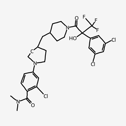 CN(C)C(=O)c1ccc(N2CCC(CC3CCN(C(=O)C(O)(c4cc(Cl)cc(Cl)c4)C(F)(F)F)CC3)CC2)cc1Cl